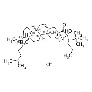 CCCC(C(N)(O)C(=O)[C@H]1CC[C@@]2(C)C(=CC[C@H]3[C@@H]4CC[C@H]([C@H](C)CCCC(C)C)[C@@]4(C)CC[C@@H]32)C1)[N+](C)(C)C.[Cl-]